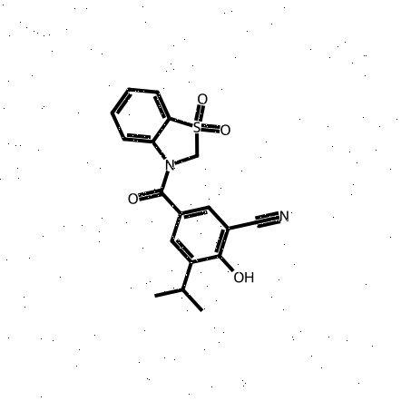 CC(C)c1cc(C(=O)N2CS(=O)(=O)c3ccccc32)cc(C#N)c1O